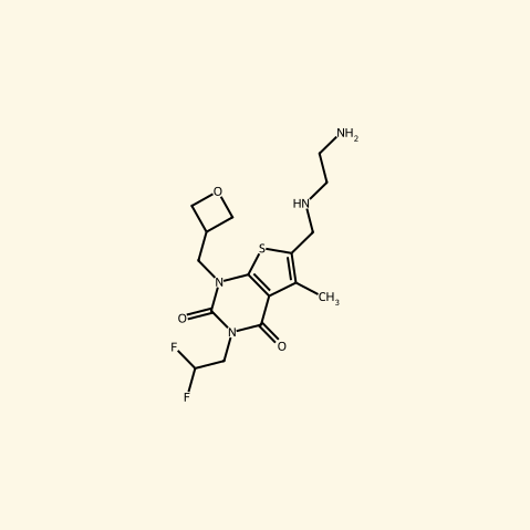 Cc1c(CNCCN)sc2c1c(=O)n(CC(F)F)c(=O)n2CC1COC1